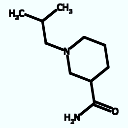 CC(C)CN1CCCC(C(N)=O)C1